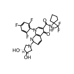 O=C(NC1(C(F)(F)F)CCCC1)c1cn(-c2c(F)cc(F)cc2F)c2nc(N3C[C@@H](O)[C@H](O)C3)ccc2c1=O